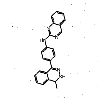 CC1NN=C(c2ccc(Nc3ncc4ccccc4n3)cc2)c2ccccc21